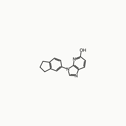 Oc1ccc2ncn(-c3ccc4c(c3)CCC4)c2n1